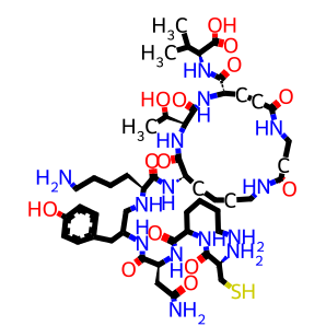 CC(C)[C@H](NC(=O)[C@@H]1CCC(=O)NCCC(=O)NCCCC[C@H](NC(=O)[C@H](CCCCN)NCC(Cc2ccc(O)cc2)NC(=O)[C@H](CC(N)=O)NC(=O)C(CCCCN)NC(=O)[C@@H](N)CS)C(=O)N[C@@H](C(C)O)C(=O)N1)C(=O)O